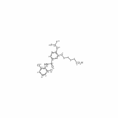 O=C(O)CCCCOc1cc(C(=O)Nc2c(Cl)cncc2Cl)ccc1OC(F)F